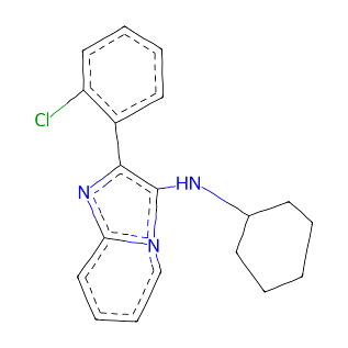 Clc1ccccc1-c1nc2ccccn2c1NC1CCCCC1